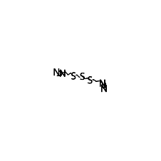 c1cn(CCCSCCSCCSCCCn2ccnc2)cn1